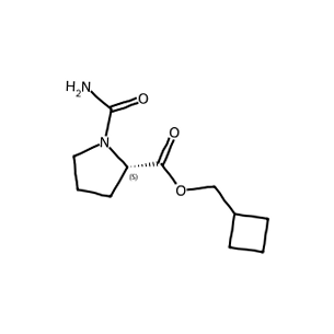 NC(=O)N1CCC[C@H]1C(=O)OCC1CCC1